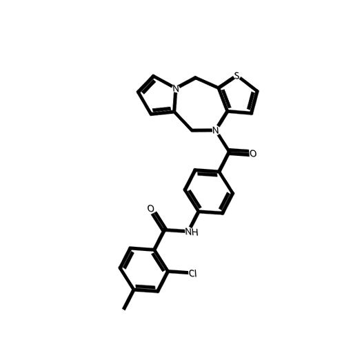 Cc1ccc(C(=O)Nc2ccc(C(=O)N3Cc4cccn4Cc4sccc43)cc2)c(Cl)c1